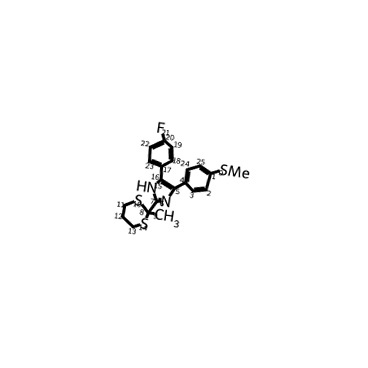 CSc1ccc(-c2nc(C3(C)SCCCS3)[nH]c2-c2ccc(F)cc2)cc1